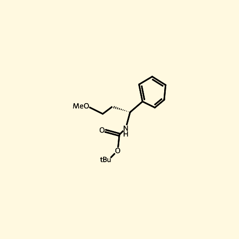 COCC[C@@H](NC(=O)OC(C)(C)C)c1ccccc1